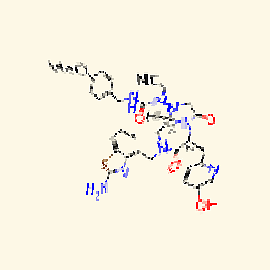 COc1ccc(CNC(=O)N(CC#N)N2CC(=O)N3[C@@H](Cc4ccc(O)cn4)C(=O)N(Cc4cccc5sc(N)nc45)C[C@@H]32)cc1